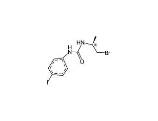 C[C@@H](CBr)NC(=O)Nc1ccc(I)cc1